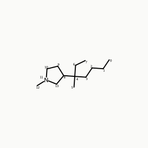 CCCCC(C)(CC)C1CCN(C)C1